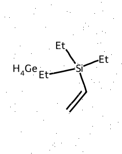 C=C[Si](CC)(CC)CC.[GeH4]